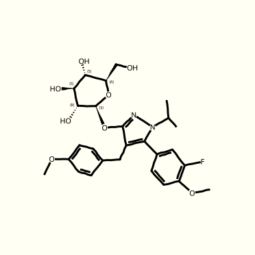 COc1ccc(Cc2c(O[C@@H]3O[C@H](CO)[C@@H](O)[C@H](O)[C@H]3O)nn(C(C)C)c2-c2ccc(OC)c(F)c2)cc1